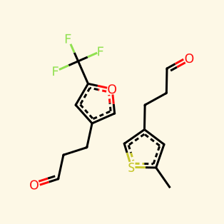 Cc1cc(CCC=O)cs1.O=CCCc1coc(C(F)(F)F)c1